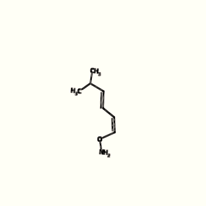 CC(C)/C=C/C=C\ON